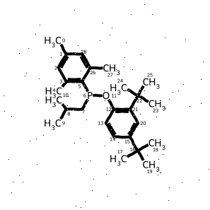 Cc1cc(C)c(P(CC(C)C)Oc2ccc(C(C)(C)C)cc2C(C)(C)C)c(C)c1